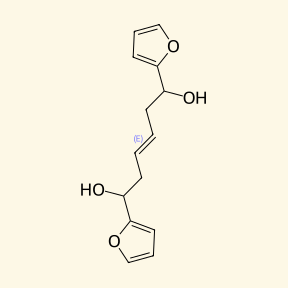 OC(C/C=C/CC(O)c1ccco1)c1ccco1